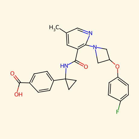 Cc1cnc(N2CC(Oc3ccc(F)cc3)C2)c(C(=O)NC2(c3ccc(C(=O)O)cc3)CC2)c1